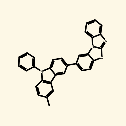 Cc1ccc2c(c1)c1cc(-c3ccc4oc5nc6ccccc6n5c4c3)ccc1n2-c1ccccc1